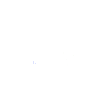 N#CC1(c2cccc(C(F)(F)F)c2)CCCC1